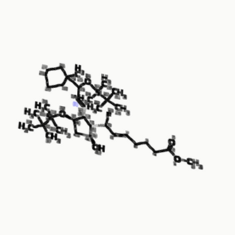 COC(=O)CCCC=CC(F)[C@H]1[C@@H](/C=C/C(O[Si](C)(C)C(C)(C)C)C2(C)CCCCC2)[C@H](O[Si](C)(C)C(C)(C)C)C[C@@H]1O